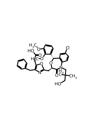 COc1cccc([C@H]2O[C@H](Cc3nc(Cc4ccccc4)c(CC(=O)O)o3)C(=O)N(CC(C)(C)CO)c3ccc(Cl)cc32)c1OC